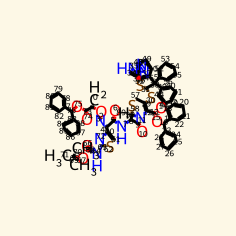 C=C(O/N=C(\C(=O)NC1C(=O)N2C(C(=O)OC(c3ccccc3)c3ccccc3)=C(SC(Sc3c[nH]nn3)C(c3ccccc3)(c3ccccc3)c3ccccc3)CS[C@@H]12)c1csc(NC(=O)OC(C)(C)C)n1)C(=O)OC(c1ccccc1)c1ccccc1